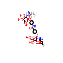 CC(=O)NC1C(Oc2ccc(NC(=O)c3ccc(OC4OC(CO)C(O)C(O)C4NC(C)=O)cc3)cc2)OC(CO)C(O)C1O